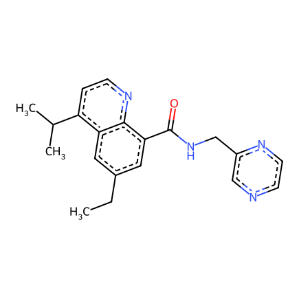 CCc1cc(C(=O)NCc2cnccn2)c2nccc(C(C)C)c2c1